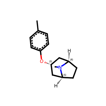 Cc1ccc(O[C@@H]2C[C@H]3CC[C@@H](C2)N3C)cc1